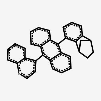 c1cc(-c2c3ccccc3c(-c3ccnc4ccccc34)c3ccccc23)c2c(c1)C1CCC2C1